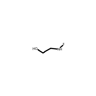 OCCNF